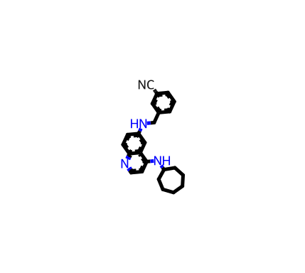 N#Cc1cccc(CNc2ccc3nccc(NC4CCCCCC4)c3c2)c1